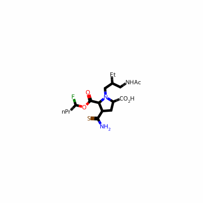 CCCC(F)OC(=O)C1C(C(N)=S)CC(C(=O)O)N1CC(CC)CNC(C)=O